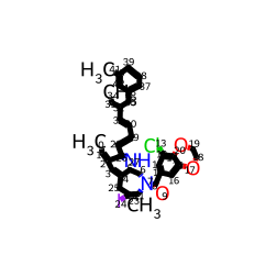 CC=C(/C=C1\CCN(C(=O)c2cc(Cl)c3c(c2)OCCO3)CC(C)(I)C1)C(=N)/C=C/C=C/C(CC)Cc1cccc(C)c1